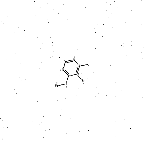 CCOc1ncnc(C)c1Br